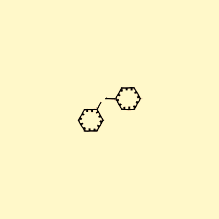 c1cc[c]([Hf][c]2ccccc2)cc1